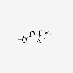 Cc1csc(C2CC=C(C3(C4CC4)NC(=N)N(C)C3=O)S2)c1